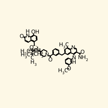 COc1cccc(Nc2c(C(N)=O)cnc3c(C)cc(Cc4cccc(C(=O)N5CCC(NC[C@H](O[Si](C)(C)C(C)(C)C)c6ccc(O)c7[nH]c(=O)ccc67)CC5)c4)cc23)c1